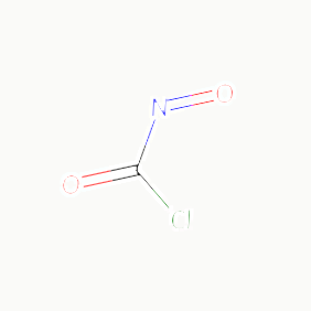 O=NC(=O)Cl